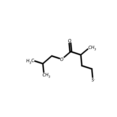 CC(C)COC(=O)C(C)CC[S]